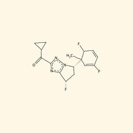 CC1([C@@H]2C[C@H](F)c3nc(C(=O)C4CC4)nn32)C=C(F)C=CC1F